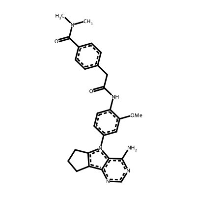 COc1cc(-n2c3c(c4ncnc(N)c42)CCC3)ccc1NC(=O)Cc1ccc(C(=O)N(C)C)cc1